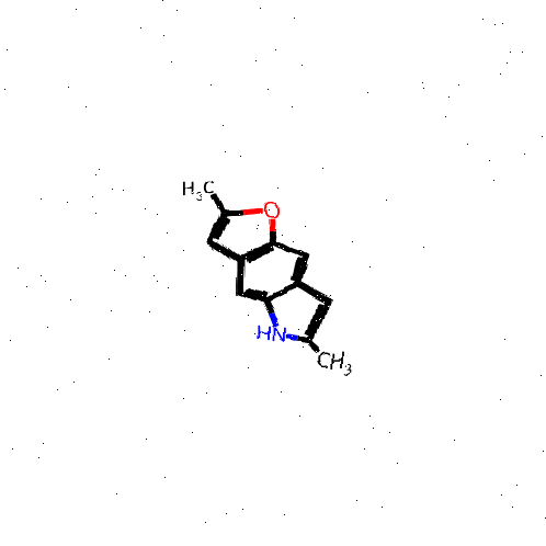 Cc1cc2cc3oc(C)cc3cc2[nH]1